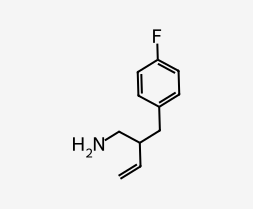 C=CC(CN)Cc1ccc(F)cc1